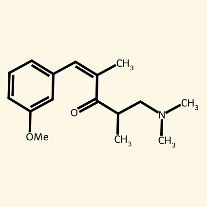 COc1cccc(C=C(C)C(=O)C(C)CN(C)C)c1